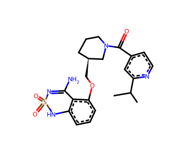 CC(C)c1cc(C(=O)N2CCC[C@H](COc3cccc4c3C(N)=NS(=O)(=O)N4)C2)ccn1